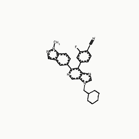 Cn1ncc2cc(-c3ncc4c(ncn4CC4CCCCC4)c3-c3ccc(C#N)c(F)c3)ccc21